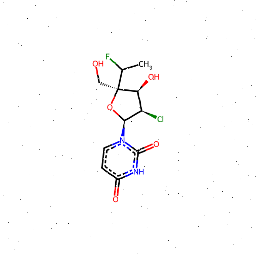 CC(F)[C@]1(CO)O[C@H](n2ccc(=O)[nH]c2=O)[C@H](Cl)[C@@H]1O